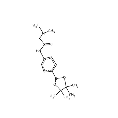 CN(C)CC(=O)Nc1ccc(B2OC(C)(C)C(C)(C)O2)cc1